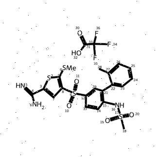 CSc1sc(C(=N)N)cc1S(=O)(=O)c1ccc(NS(C)(=O)=O)c(-c2ccccc2C)c1.O=C(O)C(F)(F)F